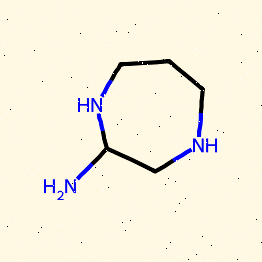 NC1CNCCCN1